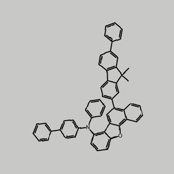 CC1(C)c2cc(-c3ccccc3)ccc2-c2ccc(-c3cc4c(oc5cccc(N(c6ccccc6)c6ccc(-c7ccccc7)cc6)c54)c4ccccc34)cc21